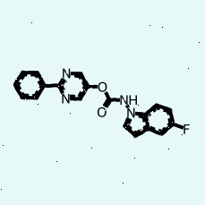 O=C(Nn1ccc2cc(F)ccc21)Oc1cnc(-c2ccccc2)nc1